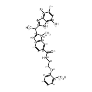 CC(c1nc2c(F)c(F)cc(O)c2[nH]1)c1nc2ccc(C(=O)NCCOc3ccccc3C(=O)O)cc2n1C